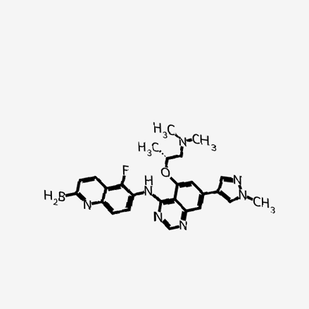 Bc1ccc2c(F)c(Nc3ncnc4cc(-c5cnn(C)c5)cc(O[C@H](C)CN(C)C)c34)ccc2n1